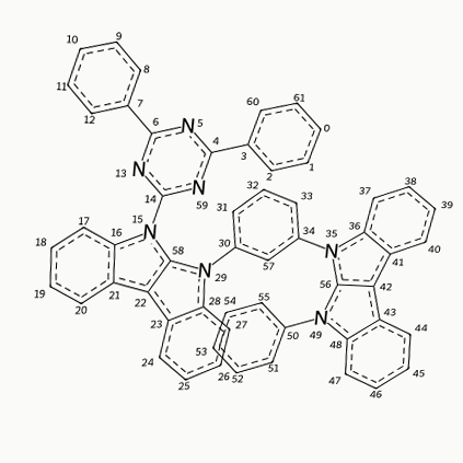 c1ccc(-c2nc(-c3ccccc3)nc(-n3c4ccccc4c4c5ccccc5n(-c5cccc(-n6c7ccccc7c7c8ccccc8n(-c8ccccc8)c76)c5)c43)n2)cc1